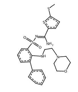 CSc1ccc(C(N)=NS(=O)(=O)c2cccc(-c3ccccc3)c2NCCN2CCOCC2)s1